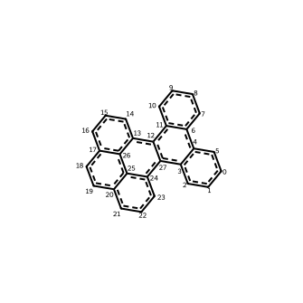 c1ccc2c(c1)c1ccccc1c1c3cccc4ccc5cccc(c5c43)c21